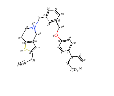 C=C[C@@H](CC(=O)O)c1ccc(OCc2cccc(CN3CCc4sc(CNC)cc4C3)c2)cc1